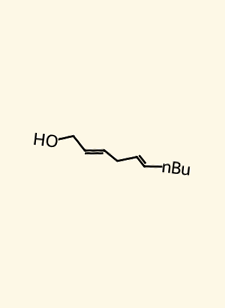 CCCC/C=C/C/C=C/CO